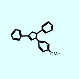 COc1ccc(C2C=C(c3ccccc3)CC2c2ccccc2)cc1